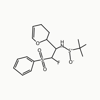 CC(C)(C)[S+]([O-])NC(C1CCC=CO1)C(F)S(=O)(=O)c1ccccc1